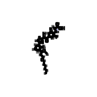 CCCCCCOCCC(OC)c1cccc(-c2csc(NC(=O)c3cc(F)c(/C=C(\C)C(=O)O)c(F)c3)n2)c1F